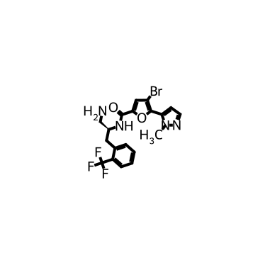 Cn1nccc1-c1oc(C(=O)N[C@H](CN)Cc2ccccc2C(F)(F)F)cc1Br